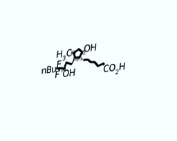 CCCCC(F)(F)[C@H](O)CC[C@@H]1[C@@H](CCCCCCC(=O)O)[C@@H](O)C[C@H]1C